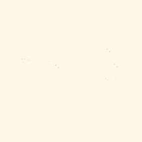 CO[C@H](C(=O)Nc1ccc(Oc2cc(NC(C)=O)ncn2)cc1)c1ccccc1